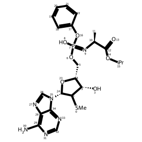 CSC1[C@@H](O)[C@@H](COP(O)(=N[C@@H](C)C(=O)OC(C)C)Oc2ccccc2)O[C@H]1n1cnc2c(N)ncnc21